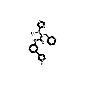 CN(c1cscn1)[C@@H](Cc1ccccc1)C(=O)Nc1cccc(-c2cn[nH]c2)c1